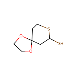 SC1CC2(CCS1)OCCO2